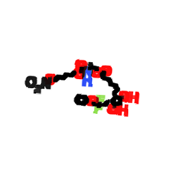 C[C@@H](COC(=O)CCC/C=C\C[C@@H]1[C@@H](/C=C/C(F)(F)COc2ccccc2)[C@H](O)C[C@@H]1O)NC(=O)OCCCCCCO[N+](=O)[O-]